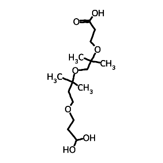 CC(C)(CCOCCC(O)O)OCC(C)(C)OCCC(=O)O